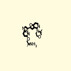 C[C@@H](N)COc1ccc2ncc(-c3cc4c(N5CCOC[C@@H]5C)nccc4o3)n2n1